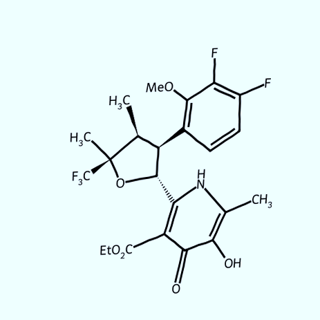 CCOC(=O)c1c([C@@H]2O[C@@](C)(C(F)(F)F)[C@@H](C)[C@H]2c2ccc(F)c(F)c2OC)[nH]c(C)c(O)c1=O